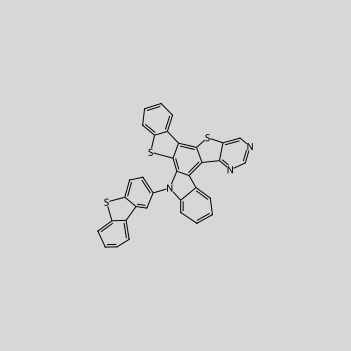 c1ccc2c(c1)sc1ccc(-n3c4ccccc4c4c5c6ncncc6sc5c5c6ccccc6sc5c43)cc12